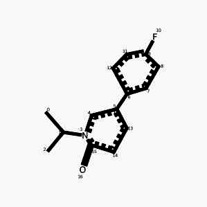 CC(C)n1cc(-c2ccc(F)cc2)ccc1=O